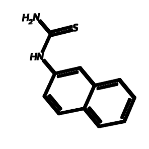 NC(=S)Nc1ccc2ccccc2c1